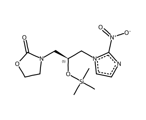 C[Si](C)(C)O[C@@H](CN1CCOC1=O)Cn1ccnc1[N+](=O)[O-]